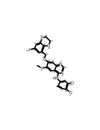 COc1cc2c(Nc3ccc(Cl)c(Cl)c3)ncnc2cc1OCc1cc(F)cc2c1OCCO2